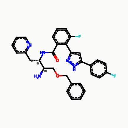 N[C@H](COCc1ccccc1)[C@H](Cc1ccccn1)NC(=O)c1cccc(F)c1-c1cc(-c2ccc(F)cc2)[nH]n1